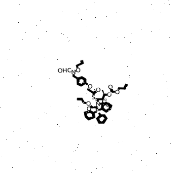 C=CCOC(=O)O[C@H](C)[C@H]1C(=O)N(C(C(=O)OCC=C)=P(c2ccccc2)(c2ccccc2)c2ccccc2)[C@@H]1SC(=O)COc1ccc(CN(C=O)OCC=C)cc1